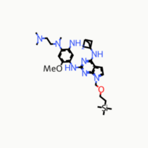 COc1cc(N(C)CCN(C)C)c(N)cc1Nc1nc(NC23CC(C2)C3)c2ccn(COCC[Si](C)(C)C)c2n1